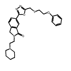 O=C1c2cc(-c3nnc(CSCCOc4ccccc4)o3)ccc2CN1CCN1CCCCC1